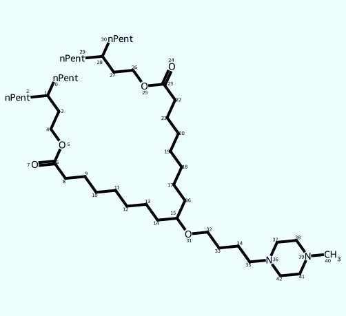 CCCCCC(CCCCC)CCOC(=O)CCCCCCCC(CCCCCCCC(=O)OCCC(CCCCC)CCCCC)OCCCCN1CCN(C)CC1